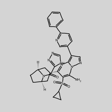 Nc1c(S(=O)(=O)C2CC2)c([C@@H]2C[C@H]3CC[C@@H](C2)N3C(=O)c2nnc[nH]2)nc2c(-c3ccc(-c4ccccc4)nc3)cnn12